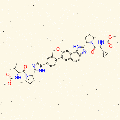 COC(=O)NC(C(=O)N1[C@@H](C)CC[C@H]1c1ncc(-c2ccc3c(c2)COc2cc4c(ccc5nc([C@@H]6CC[C@H](C)N6C(=O)[C@@H](NC(=O)OC)C6CC6)[nH]c54)cc2-3)[nH]1)C(C)C